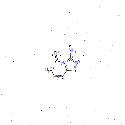 C=Cn1c(/C=C\C)cnc1N